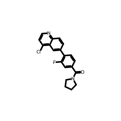 O=C(c1ccc(-c2ccc3nccc(Cl)c3c2)c(F)c1)N1CCCC1